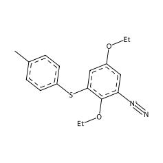 CCOc1cc([N+]#N)c(OCC)c(Sc2ccc(C)cc2)c1